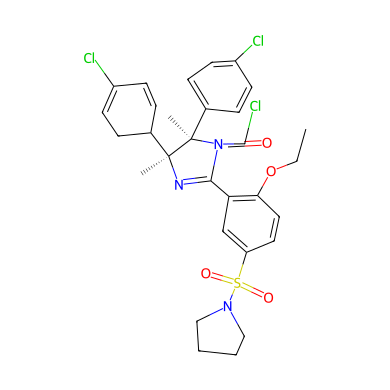 CCOc1ccc(S(=O)(=O)N2CCCC2)cc1C1=N[C@@](C)(C2C=CC(Cl)=CC2)[C@@](C)(c2ccc(Cl)cc2)N1C(=O)Cl